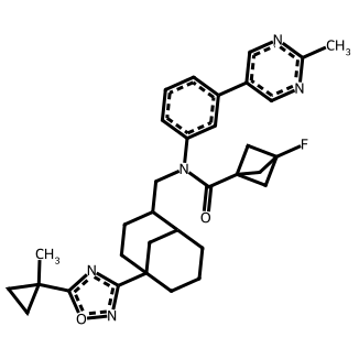 Cc1ncc(-c2cccc(N(CC3CCC4(c5noc(C6(C)CC6)n5)CCCC3C4)C(=O)C34CC(F)(C3)C4)c2)cn1